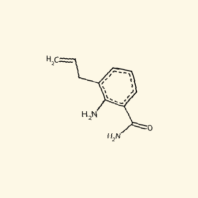 C=CCc1cccc(C(N)=O)c1N